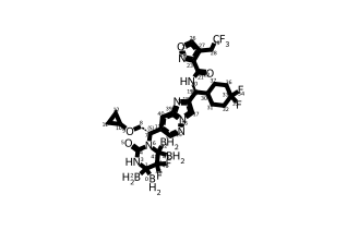 BC1(B)NC(=O)N([C@H](COC2CC2)c2cnn3cc([C@@H](NC(=O)c4nocc4CC(F)(F)F)C4CCC(F)(F)CC4)nc3c2)C(B)(B)C1(F)F